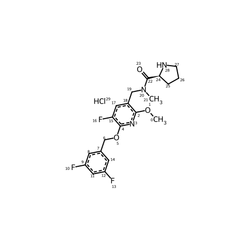 COc1nc(OCc2cc(F)cc(F)c2)c(F)cc1CN(C)C(=O)[C@@H]1CCCN1.Cl